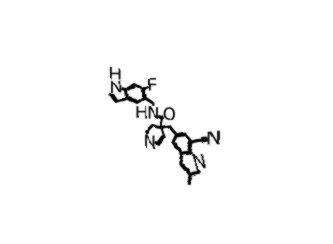 Cc1cnc2c(C#N)cc(CC3(C(=O)NCc4cc5cc[nH]c5cc4F)C=CN=CC3)cc2c1